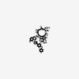 CC[C@H]1OC(=O)C[C@@H](O)[C@H](C)[C@@H](O[C@@H]2O[C@H](C)[C@@H](O)C(N(C)C)C2O)[C@@H](CCN(CCn2cc(-c3ccc(Oc4ccccc4)cc3)nn2)Cc2ccc(I)cc2)C[C@@H](C)C(=O)/C=C/C(C)=C/[C@@H]1CO